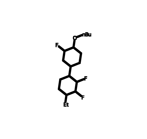 CCCCOC1CCC(C2CCC(CC)C(F)C2F)CC1F